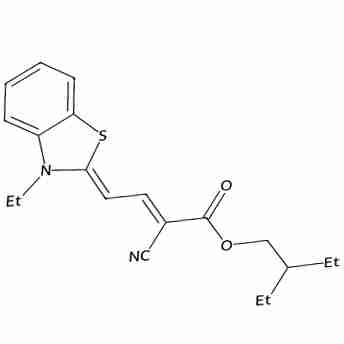 CCC(CC)COC(=O)/C(C#N)=C/C=C1\Sc2ccccc2N1CC